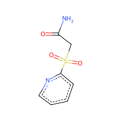 NC(=O)CS(=O)(=O)c1ccccn1